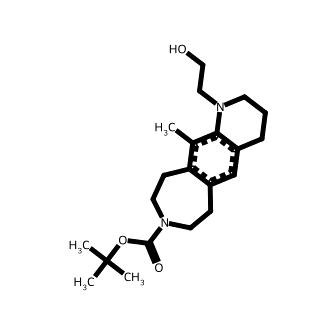 Cc1c2c(cc3c1N(CCO)CCC3)CCN(C(=O)OC(C)(C)C)CC2